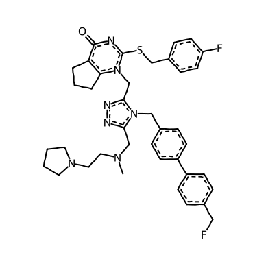 CN(CCN1CCCC1)Cc1nnc(Cn2c(SCc3ccc(F)cc3)nc(=O)c3c2CCC3)n1Cc1ccc(-c2ccc(CF)cc2)cc1